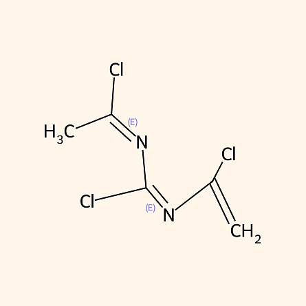 C=C(Cl)/N=C(Cl)\N=C(/C)Cl